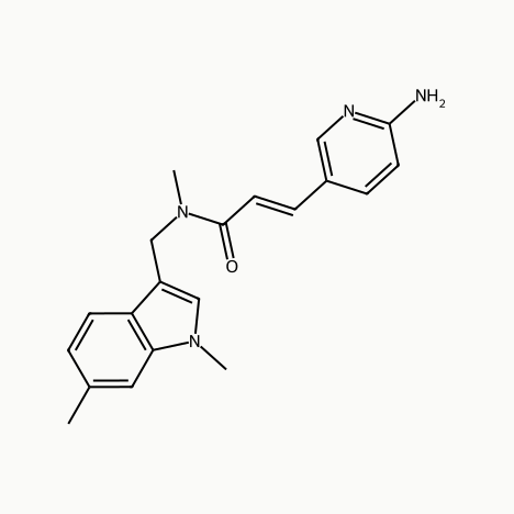 Cc1ccc2c(CN(C)C(=O)C=Cc3ccc(N)nc3)cn(C)c2c1